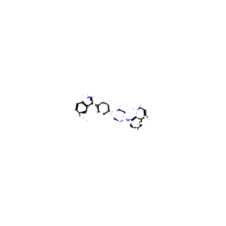 N#Cc1ccc2[nH]cc(C3CCC(N4CCN(c5cccc6c(F)ccnc56)CC4)CC3)c2c1